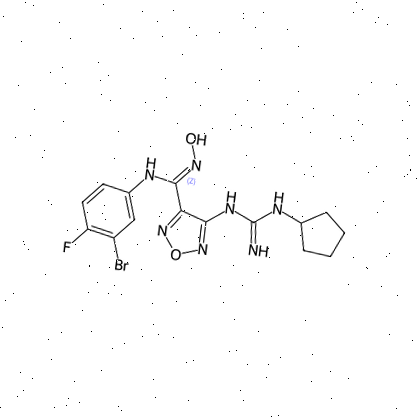 N=C(Nc1nonc1/C(=N/O)Nc1ccc(F)c(Br)c1)NC1CCCC1